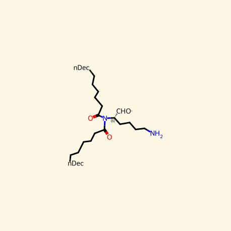 CCCCCCCCCCCCCCCC(=O)N(C(=O)CCCCCCCCCCCCCCC)[C@H]([C]=O)CCCCN